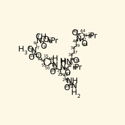 CC(C)OC(=O)N(C)CCN(C)C(=O)OCc1ccc(NC(=O)[C@H](CCCNC(N)=O)NC(=O)[C@H](NC(=O)CCCCCN2C(=O)CC(C(C)C)C2=O)C(C)C)cc1